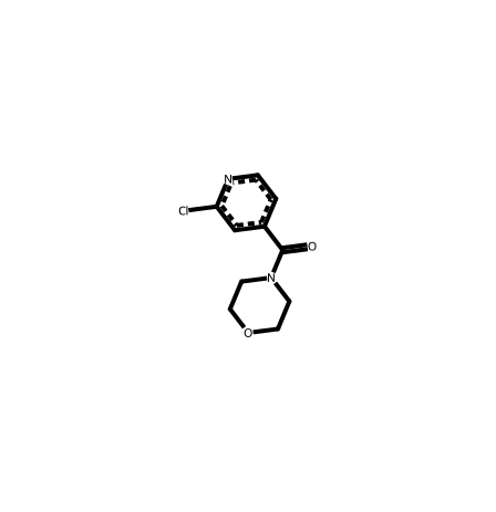 O=C(c1ccnc(Cl)c1)N1CCOCC1